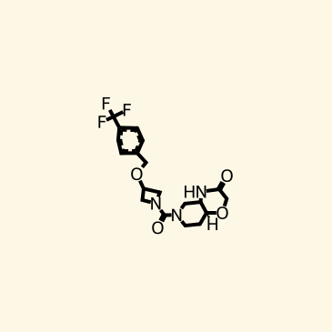 O=C1CO[C@H]2CCN(C(=O)N3CC(OCc4ccc(C(F)(F)F)cc4)C3)CC2N1